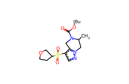 CC1Cn2ncc(S(=O)(=O)C3CCOC3)c2CN1C(=O)OC(C)(C)C